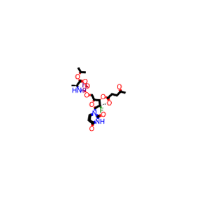 CC(=O)CCC(=O)O[C@@H]1C(CO[PH](=O)N[C@@H](C)C(=O)OC(C)C)OC(n2ccc(=O)[nH]c2=O)[C@]1(C)F